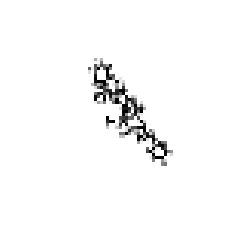 CC1=C(/N=N/c2ccccc2)Sc2nnc(Cn3ncc4ccccc4c3=O)n2N1